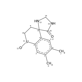 Cc1cc2c(cc1C)C1(CC[S+]2[O-])NCNC1=O